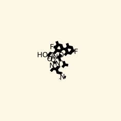 Cc1cc(-c2c(C)cc(F)cc2C)cc([C@H](CC(=O)O)NC(=O)[C@H](CC(C)C)n2cc(CCN(C)C)c(C)nc2=O)c1F